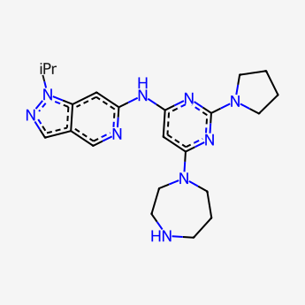 CC(C)n1ncc2cnc(Nc3cc(N4CCCNCC4)nc(N4CCCC4)n3)cc21